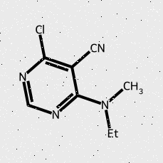 CCN(C)c1ncnc(Cl)c1C#N